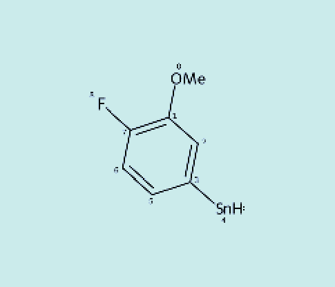 COc1c[c]([SnH])ccc1F